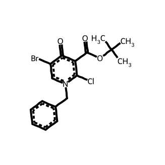 CC(C)(C)OC(=O)c1c(Cl)n(Cc2ccccc2)cc(Br)c1=O